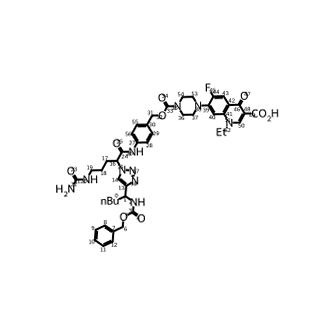 CCCCC(NC(=O)OCc1ccccc1)c1cn(C(CCCNC(N)=O)C(=O)Nc2ccc(COC(=O)N3CCN(c4cc5c(cc4F)c(=O)c(C(=O)O)cn5CC)CC3)cc2)nn1